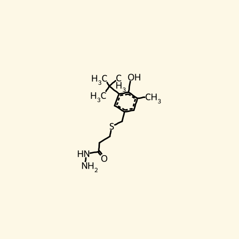 Cc1cc(CSCCC(=O)NN)cc(C(C)(C)C)c1O